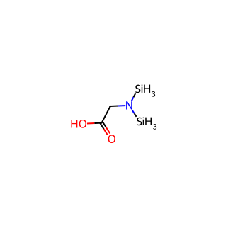 O=C(O)CN([SiH3])[SiH3]